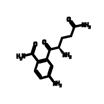 NC(=O)CC[C@H](N)C(=O)c1cc(N)ccc1C(N)=O